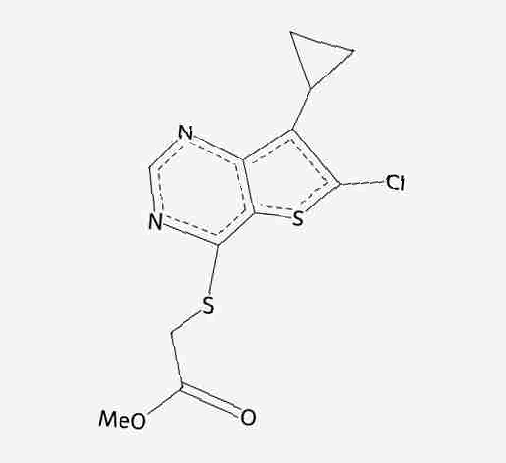 COC(=O)CSc1ncnc2c(C3CC3)c(Cl)sc12